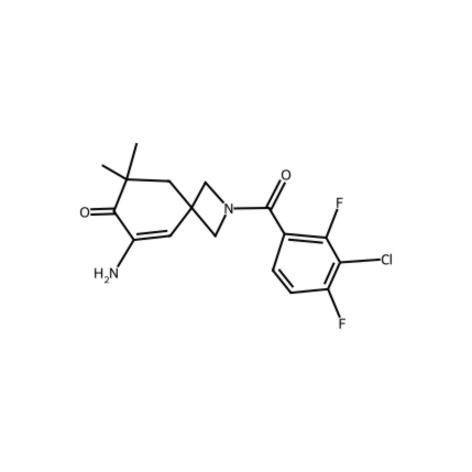 CC1(C)CC2(C=C(N)C1=O)CN(C(=O)c1ccc(F)c(Cl)c1F)C2